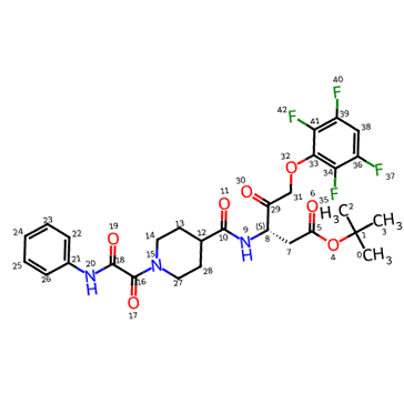 CC(C)(C)OC(=O)C[C@H](NC(=O)C1CCN(C(=O)C(=O)Nc2ccccc2)CC1)C(=O)COc1c(F)c(F)cc(F)c1F